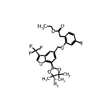 CCOC(=O)Cc1ccc(F)cc1OCc1cc(B2OC(C)(C)C(C)(C)O2)c2occ(C(F)(F)F)c2c1